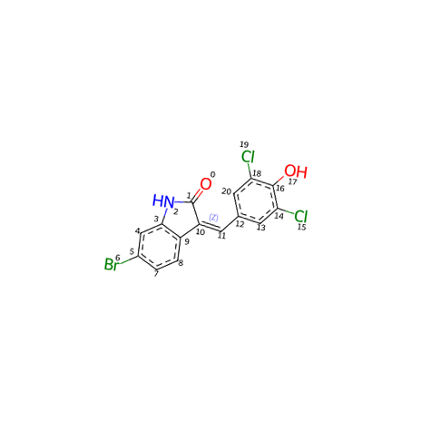 O=C1Nc2cc(Br)ccc2/C1=C/c1cc(Cl)c(O)c(Cl)c1